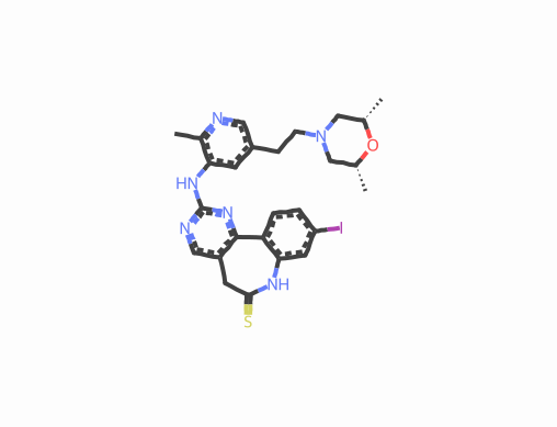 Cc1ncc(CCN2C[C@@H](C)O[C@@H](C)C2)cc1Nc1ncc2c(n1)-c1ccc(I)cc1NC(=S)C2